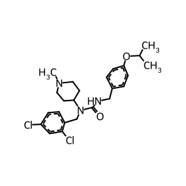 CC(C)Oc1ccc(CNC(=O)N(Cc2ccc(Cl)cc2Cl)C2CCN(C)CC2)cc1